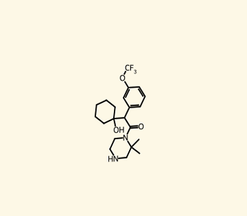 CC1(C)CNCCN1C(=O)C(c1cccc(OC(F)(F)F)c1)C1(O)CCCCC1